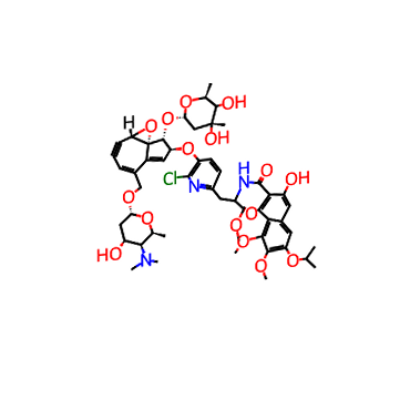 COC(=O)C(Cc1ccc(O[C@H]2C=C3C(CO[C@H]4C[C@H](O)[C@H](N(C)C)[C@H](C)O4)=CC#C[C@@H]4O[C@]34[C@@H]2O[C@H]2C[C@@](C)(O)C(O)[C@H](C)O2)c(Cl)n1)NC(=O)c1cc2c(OC)c(OC)c(OC(C)C)cc2cc1O